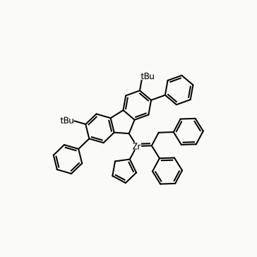 CC(C)(C)c1cc2c(cc1-c1ccccc1)[CH]([Zr]([C]1=CC=CC1)=[C](Cc1ccccc1)c1ccccc1)c1cc(-c3ccccc3)c(C(C)(C)C)cc1-2